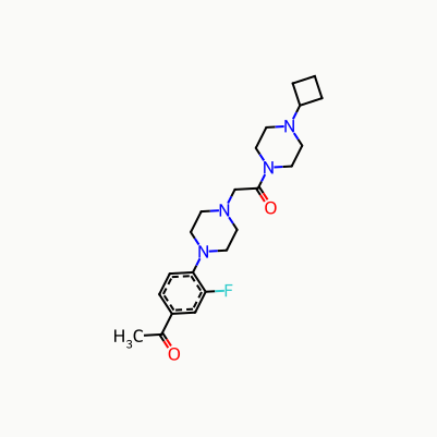 CC(=O)c1ccc(N2CCN(CC(=O)N3CCN(C4CCC4)CC3)CC2)c(F)c1